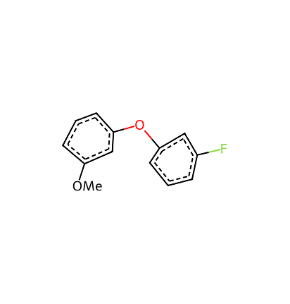 COc1cccc(Oc2cccc(F)c2)c1